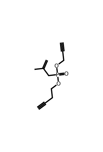 C#CCCOP(=O)(CC(=C)C)OCC#C